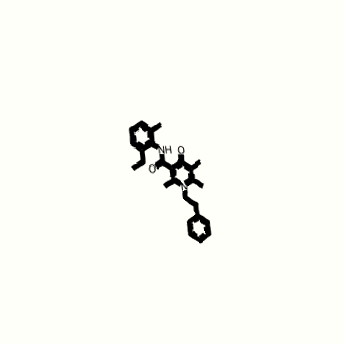 CCc1cccc(C)c1NC(=O)c1c(C)n(CCc2ccccc2)c(C)c(C)c1=O